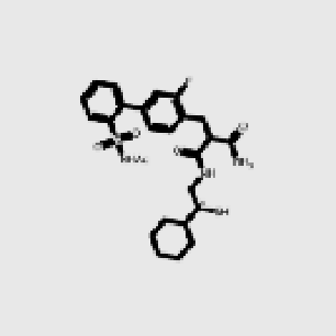 CC(=O)NS(=O)(=O)c1ccccc1-c1ccc(CC(C(N)=O)C(=O)NC[C@@H](S)C2CCCCC2)c(F)c1